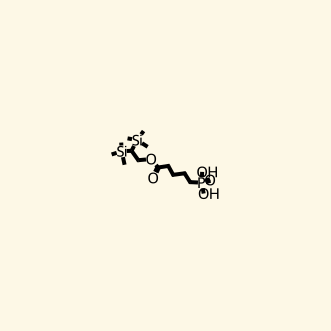 C[Si](C)(C)C(COC(=O)CCCCP(=O)(O)O)[Si](C)(C)C